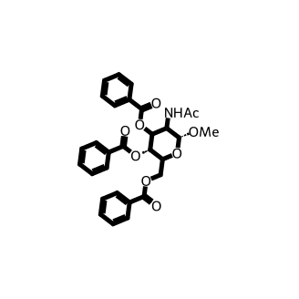 CO[C@@H]1OC(COC(=O)c2ccccc2)[C@H](OC(=O)c2ccccc2)C(OC(=O)c2ccccc2)C1NC(C)=O